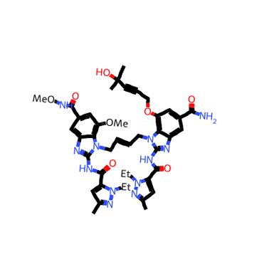 CCn1nc(C)cc1C(=O)Nc1nc2cc(C(=O)NOC)cc(OC)c2n1CC=CCn1c(NC(=O)c2cc(C)nn2CC)nc2cc(C(N)=O)cc(OCC#CC(C)(C)O)c21